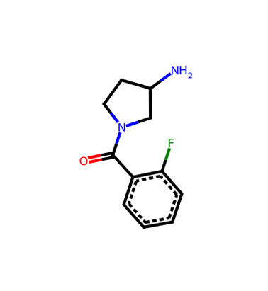 NC1CCN(C(=O)c2ccccc2F)C1